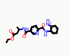 CCOC(=O)CC(C)NC(=O)c1ccc(C(=O)Nc2ccccc2N)nc1